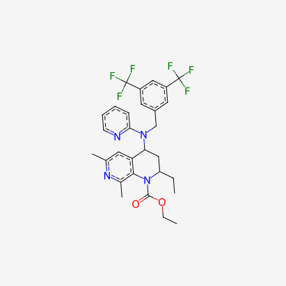 CCOC(=O)N1c2c(cc(C)nc2C)C(N(Cc2cc(C(F)(F)F)cc(C(F)(F)F)c2)c2ccccn2)CC1CC